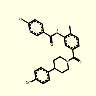 Cc1ccc(C(=O)N2CCC(c3ccc(C#N)cc3)CC2)cc1NC(=O)c1ccc(Cl)nc1